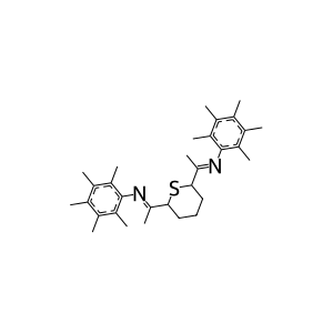 C/C(=N\c1c(C)c(C)c(C)c(C)c1C)C1CCCC(/C(C)=N/c2c(C)c(C)c(C)c(C)c2C)S1